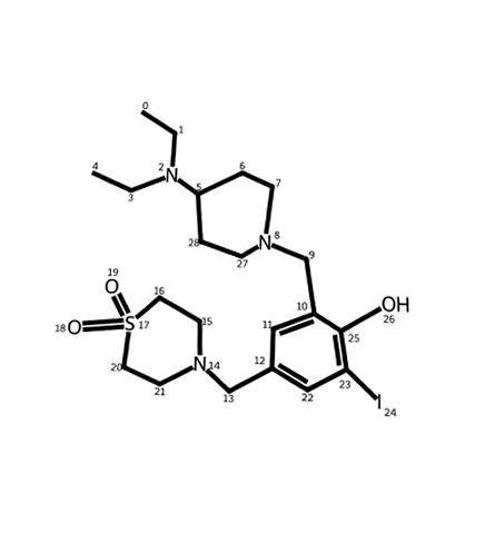 CCN(CC)C1CCN(Cc2cc(CN3CCS(=O)(=O)CC3)cc(I)c2O)CC1